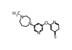 CN1CCCN(c2cncc(OC3=CC(=S)CC=N3)c2)CC1